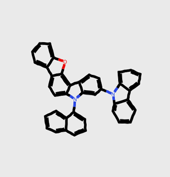 c1ccc2c(-n3c4cc(-n5c6ccccc6c6ccccc65)ccc4c4c5oc6ccccc6c5ccc43)cccc2c1